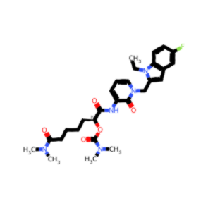 CCn1c(Cn2cccc(NC(=O)[C@H](CCCCC(=O)N(C)C)OC(=O)N(C)C)c2=O)cc2cc(F)ccc21